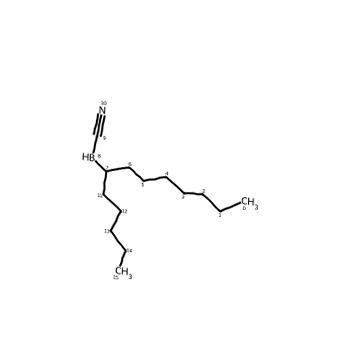 CCCCCCCC(BC#N)CCCCC